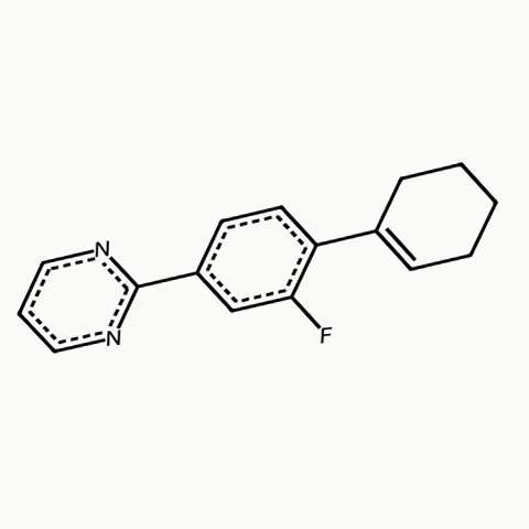 Fc1cc(-c2ncccn2)ccc1C1=CCCCC1